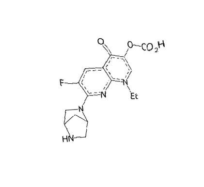 CCn1cc(OC(=O)O)c(=O)c2cc(F)c(N3CC4CC3CN4)nc21